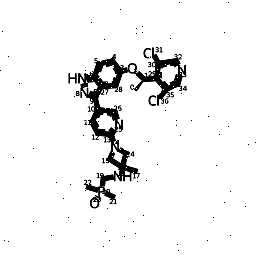 C[C@@H](Oc1ccc2[nH]nc(-c3ccc(N4CC(C)(NCP(C)(C)=O)C4)nc3)c2c1)c1c(Cl)cncc1Cl